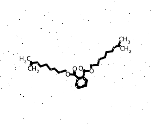 C=C(C)CCCCCCCOC(=O)c1ccccc1C(=O)OCCCCCCCC(=C)C